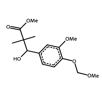 COCOc1ccc(C(O)C(C)(C)C(=O)OC)cc1OC